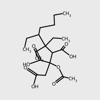 CCCCC(CC)C(CC)(CC)C(C(=O)O)C(CC(=O)O)(OC(C)=O)C(=O)O